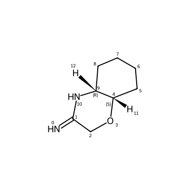 N=C1CO[C@H]2CCCC[C@H]2N1